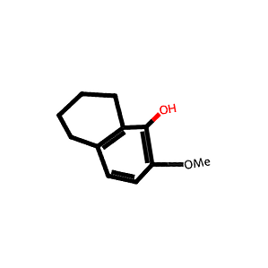 COc1ccc2c(c1O)CCCC2